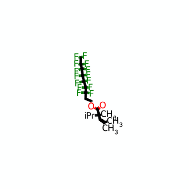 CC(C)=CC(C)(C(=O)OCCC(F)(F)C(F)(F)C(F)(F)C(F)(F)C(F)(F)C(F)(F)C(F)F)C(C)C